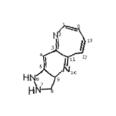 C1=CN=C2C=C3NNCC3N=C2C=C1